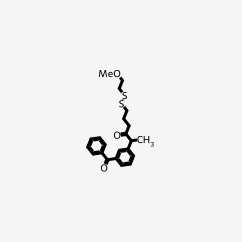 COCCSSCCCC(=O)C(C)c1cccc(C(=O)c2ccccc2)c1